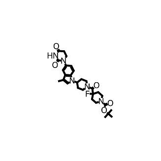 Cc1cn(C2CCN(C(=O)C3(F)CCN(C(=O)OC(C)(C)C)CC3)CC2)c2ccc(N3CCC(=O)NC3=O)cc12